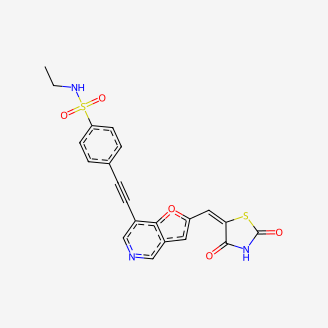 CCNS(=O)(=O)c1ccc(C#Cc2cncc3cc(C=C4SC(=O)NC4=O)oc23)cc1